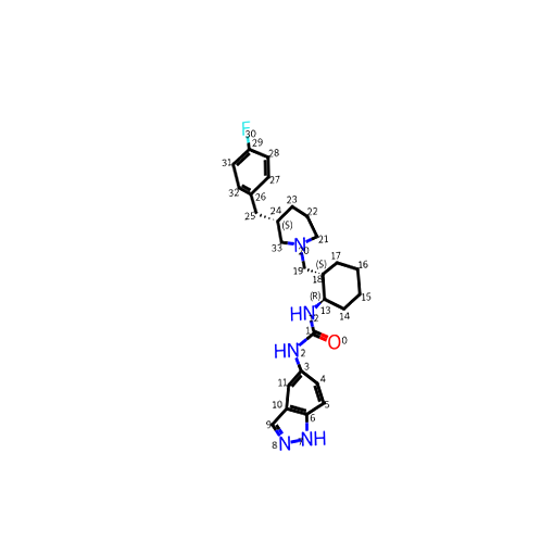 O=C(Nc1ccc2[nH]ncc2c1)N[C@@H]1CCCC[C@H]1CN1CCC[C@@H](Cc2ccc(F)cc2)C1